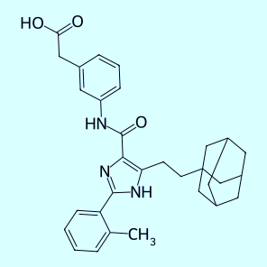 Cc1ccccc1-c1nc(C(=O)Nc2cccc(CC(=O)O)c2)c(CCC23CC4CC(CC(C4)C2)C3)[nH]1